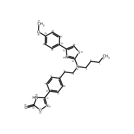 CCCCN(CCc1ccc(-c2noc(=O)[nH]2)cc1)c1nc(-c2ccc(OC)cc2)cs1